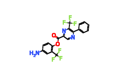 Nc1ccc(OC(=O)c2cnc(-c3ccccc3)c(C(F)(F)F)n2)c(C(F)(F)F)c1